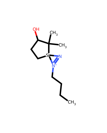 CCCC[N+]1=N[Si]12CCC(O)C2(C)C